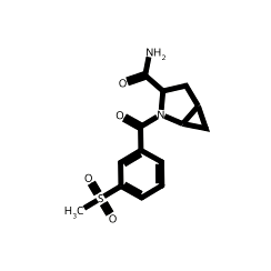 CS(=O)(=O)c1cccc(C(=O)N2C(C(N)=O)CC3CC32)c1